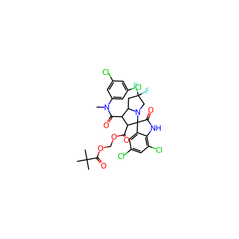 CN(C(=O)C1C2CC(F)(F)CN2C2(C(=O)Nc3c(Cl)cc(Cl)cc32)C1C(=O)OCOC(=O)C(C)(C)C)c1cc(Cl)cc(Cl)c1